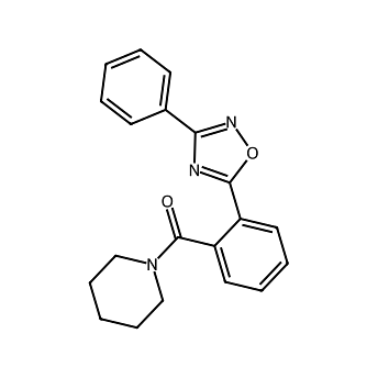 O=C(c1ccccc1-c1nc(-c2ccccc2)no1)N1CCCCC1